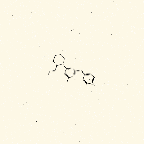 CCCCc1cc(N2CCCCC2CCO)nc(Nc2ccc(F)cc2)n1